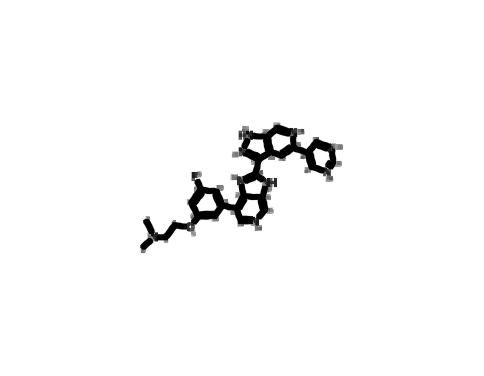 CN(C)CCOc1cc(F)cc(-c2cncc3[nH]c(-c4n[nH]c5cnc(-c6cncnc6)cc45)nc23)c1